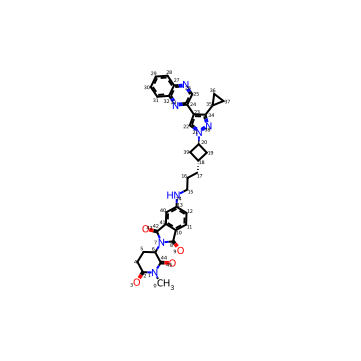 CN1C(=O)CCC(N2C(=O)c3ccc(NCCC[C@H]4C[C@H](n5cc(-c6cnc7ccccc7n6)c(C6CC6)n5)C4)cc3C2=O)C1=O